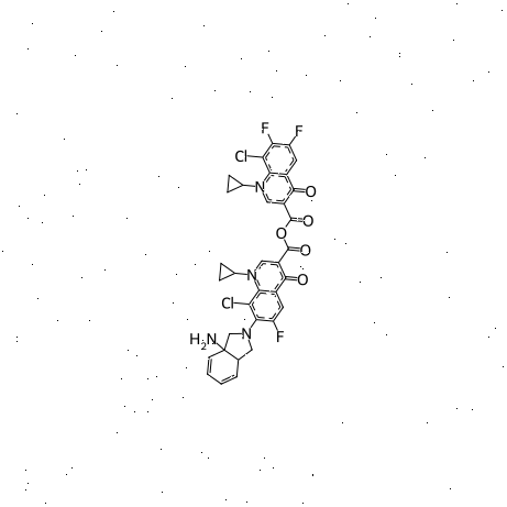 NC12C=CC=CC1CN(c1c(F)cc3c(=O)c(C(=O)OC(=O)c4cn(C5CC5)c5c(Cl)c(F)c(F)cc5c4=O)cn(C4CC4)c3c1Cl)C2